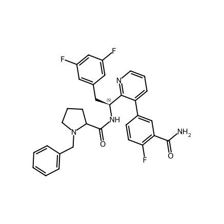 NC(=O)c1cc(-c2cccnc2[C@H](Cc2cc(F)cc(F)c2)NC(=O)C2CCCN2Cc2ccccc2)ccc1F